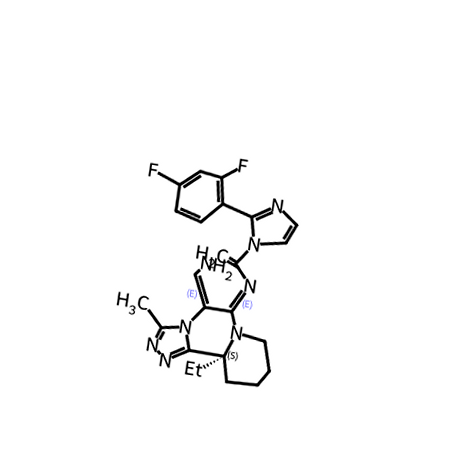 C=C(/N=C1\C(=C/N)n2c(C)nnc2[C@]2(CC)CCCCN12)n1ccnc1-c1ccc(F)cc1F